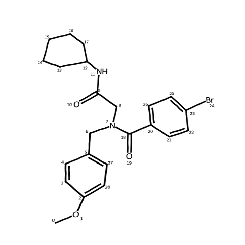 COc1ccc(CN(CC(=O)NC2CCCCC2)C(=O)c2ccc(Br)cc2)cc1